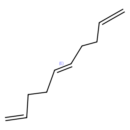 C=CCC/C=C/CCC=C